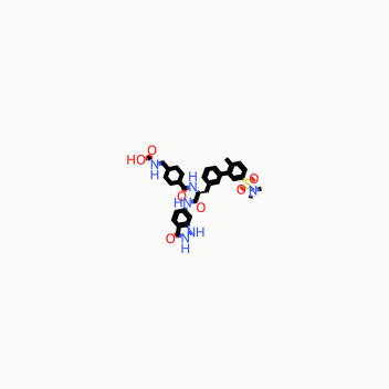 Cc1ccc(S(=O)(=O)N(C)C)cc1-c1cccc(C[C@H](NC(=O)C2CCC(CNC(=O)O)CC2)C(=O)Nc2ccc3c(=O)[nH][nH]c3c2)c1